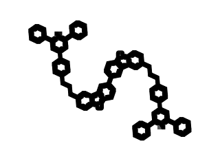 c1ccc(-c2cc(-c3ccc(CCCc4ccc5oc6ccc(-c7ccc8oc9ccc(CCCc%10ccc(-c%11cc(-c%12ccccc%12)nc(-c%12ccccc%12)c%11)cc%10)cc9c8c7)cc6c5c4)cc3)cc(-c3ccccc3)n2)cc1